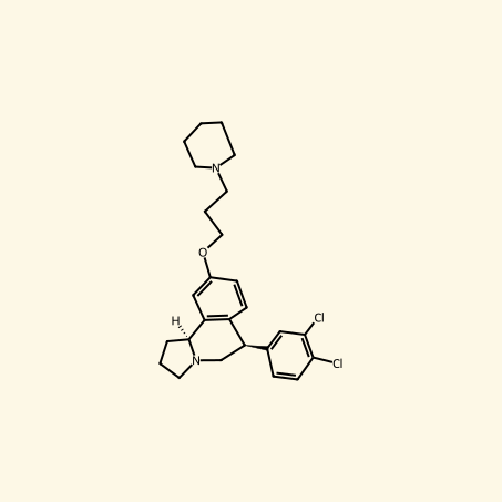 Clc1ccc([C@H]2CN3CCC[C@H]3c3cc(OCCCN4CCCCC4)ccc32)cc1Cl